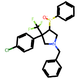 [O-][S+](c1ccccc1)C1CN(Cc2ccccc2)CC1(c1ccc(Cl)cc1)C(F)(F)F